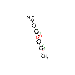 C/C=C/c1ccc(-c2ccc(C(=O)Oc3ccc(-c4ccc(OCC)c(F)c4F)cc3)c(F)c2F)cc1